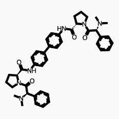 CN(C)[C@@H](C(=O)N1CCC[C@H]1C(=O)Nc1ccc(-c2ccc(NC(=O)[C@@H]3CCCN3C(=O)[C@@H](c3ccccc3)N(C)C)cc2)cc1)c1ccccc1